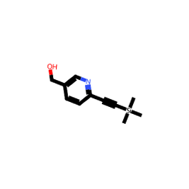 C[Si](C)(C)C#Cc1ccc(CO)cn1